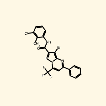 Cc1c(Cl)cccc1NC(=O)c1nn2c(C(F)(F)F)cc(-c3ccccc3)nc2c1Br